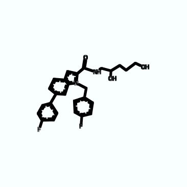 O=C(NCC(O)CCCO)c1cc2ccc(-c3ccc(F)cc3)cc2n1Cc1ccc(F)cc1